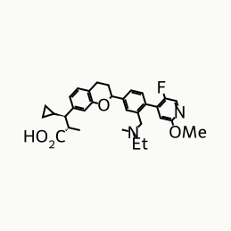 CCN(C)Cc1cc(C2CCc3ccc([C@H](C4CC4)[C@H](C)C(=O)O)cc3O2)ccc1-c1cc(OC)ncc1F